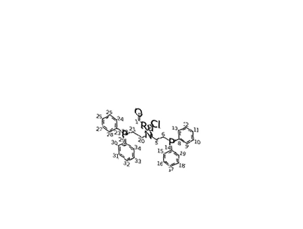 O=[CH][Ru]([Cl])[N](CCP(c1ccccc1)c1ccccc1)CCP(c1ccccc1)c1ccccc1